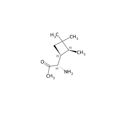 CC(=O)[C@@H](N)[C@H]1CC(C)(C)[C@H]1C